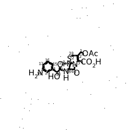 CC(=O)OCC1=C(C(=O)O)N2C(=O)[C@@H](NC(=O)C(O)c3cccc(N)c3)[C@H]2SC1